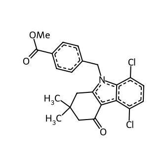 COC(=O)c1ccc(Cn2c3c(c4c(Cl)ccc(Cl)c42)C(=O)CC(C)(C)C3)cc1